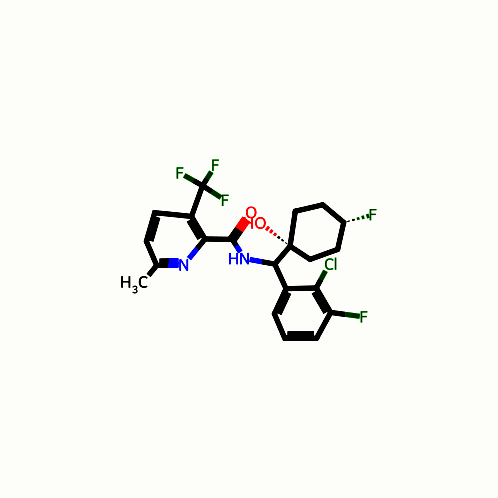 Cc1ccc(C(F)(F)F)c(C(=O)NC(c2cccc(F)c2Cl)[C@]2(O)CC[C@@H](F)CC2)n1